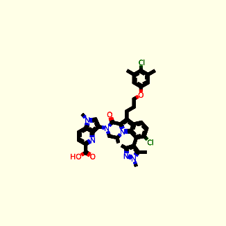 Cc1cc(OCCCc2c3n(c4c(-c5c(C)nn(C)c5C)c(Cl)ccc24)C(C)CN(c2cn(C)c4ccc(C(=O)O)nc24)C3=O)cc(C)c1Cl